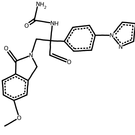 COc1ccc2c(c1)CN(CC(C=O)(NC(N)=O)c1ccc(-n3cccn3)cc1)C2=O